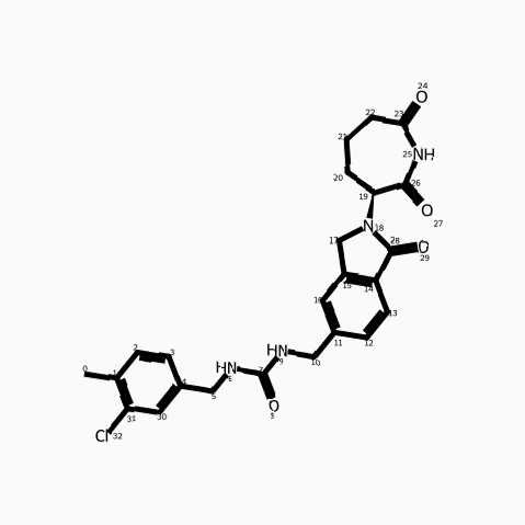 Cc1ccc(CNC(=O)NCc2ccc3c(c2)CN([C@H]2CCCC(=O)NC2=O)C3=O)cc1Cl